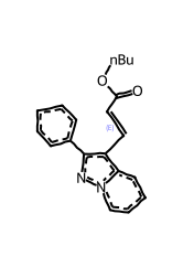 CCCCOC(=O)/C=C/c1c(-c2ccccc2)nn2ccccc12